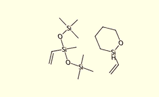 C=C[SiH]1CCCCO1.C=C[Si](C)(O[Si](C)(C)C)O[Si](C)(C)C